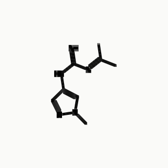 CC(C)=NC(=N)Nc1cnn(C)c1